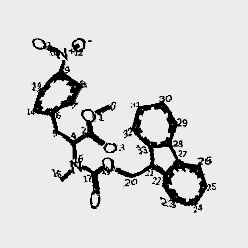 COC(=O)C(Cc1ccc([N+](=O)[O-])cc1)N(C)C(=O)OCC1c2ccccc2-c2ccccc21